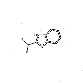 FC(F)c1nc2[c]cccc2[nH]1